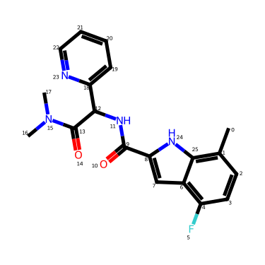 Cc1ccc(F)c2cc(C(=O)NC(C(=O)N(C)C)c3ccccn3)[nH]c12